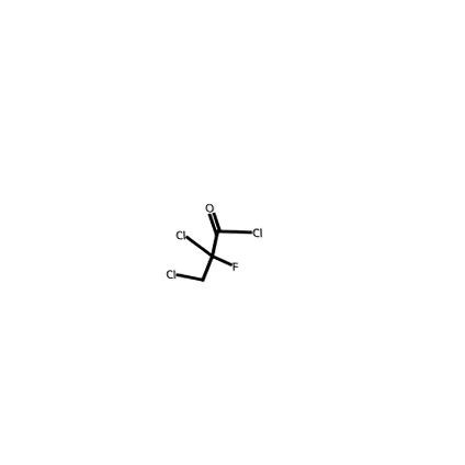 O=C(Cl)C(F)(Cl)CCl